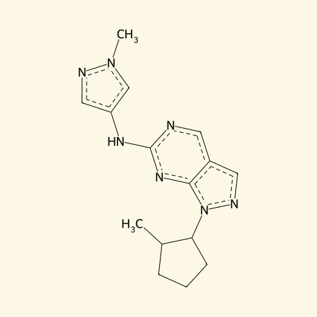 CC1CCCC1n1ncc2cnc(Nc3cnn(C)c3)nc21